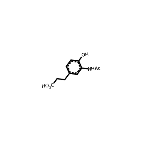 CC(=O)Nc1cc(CCC(=O)O)ccc1O